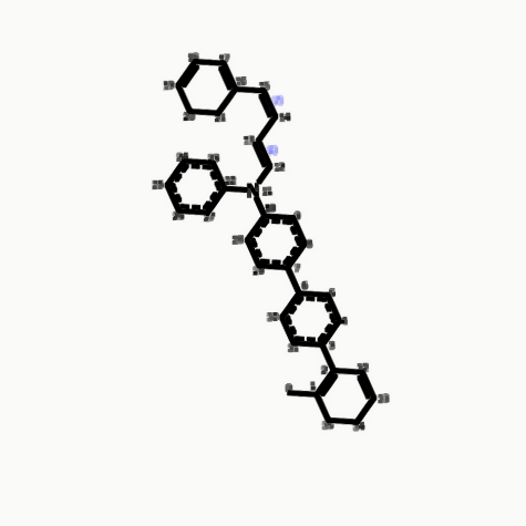 CC1=C(c2ccc(-c3ccc(N(/C=C/C=C\C4=CC=CCC4)c4ccccc4)cc3)cc2)C=CCC1